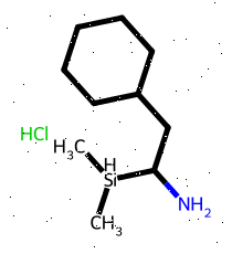 C[SiH](C)C(N)CC1CCCCC1.Cl